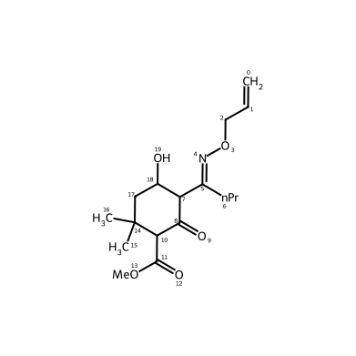 C=CCON=C(CCC)C1C(=O)C(C(=O)OC)C(C)(C)CC1O